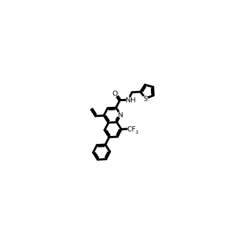 C=Cc1cc(C(=O)NCc2cccs2)nc2c(C(F)(F)F)cc(-c3ccccc3)cc12